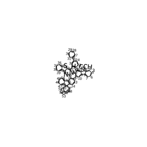 C[Si]1(C)c2ccccc2-c2cc(-c3ccc4c(c3-c3nc(-c5cccc(-c6ccccc6)c5)c5sc6ccccc6c5n3)-c3ccccc3C43C4CC5CC(C4)CC3C5)ccc21